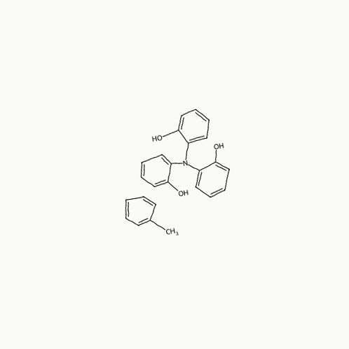 Cc1ccccc1.Oc1ccccc1N(c1ccccc1O)c1ccccc1O